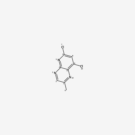 Cc1cnc2nc(Cl)cc(Cl)c2n1